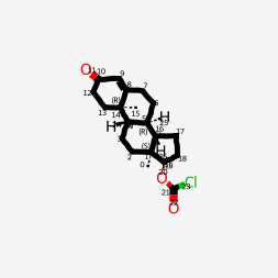 C[C@]12CC[C@H]3[C@@H](CCC4=CC(=O)CC[C@@]43C)[C@@H]1CC[C@@H]2OC(=O)Cl